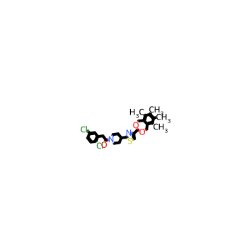 Cc1c(C)c(C)c2c(c1C)COC(c1csc(C3CCN(C(=O)Cc4cc(Cl)ccc4Cl)CC3)n1)OC2